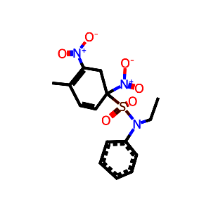 CCN(c1ccccc1)S(=O)(=O)C1([N+](=O)[O-])C=CC(C)=C([N+](=O)[O-])C1